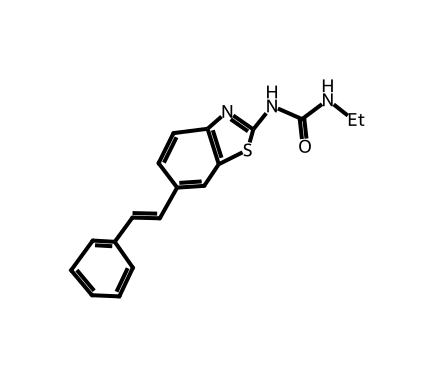 CCNC(=O)Nc1nc2ccc(/C=C/c3ccccc3)cc2s1